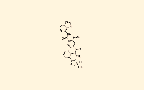 COc1cc(C(=O)N(C)c2ccccc2C2=NC(C)(C)CO2)ccc1C(=O)Nc1cccc2[nH]cnc12